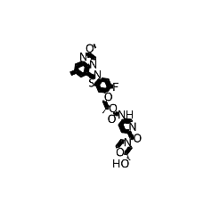 COc1cnc2c(-c3nc4cc(F)c(OC[C@@H](C)OC(=O)Nc5ccc(C(=O)N6CCO[C@@H](CO)C6)nc5)cc4s3)cc(C)cc2n1